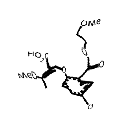 COCCOC(=O)c1cc(Cl)ccc1OC(C(=O)O)=C(C)OC